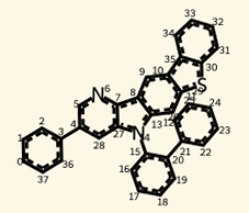 c1ccc(-c2cnc3c4cc5c(cc4n(-c4ccccc4-c4ccccc4)c3c2)sc2ccccc25)cc1